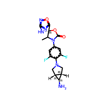 CC1N(c2cc(F)c(N3C[C@@H]4[C@@H](N)[C@@H]4C3)c(F)c2)C(=O)O[C@@]12Nc1noc2n1